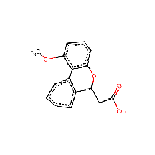 COc1cccc2c1-c1ccccc1C(CC(=O)O)O2